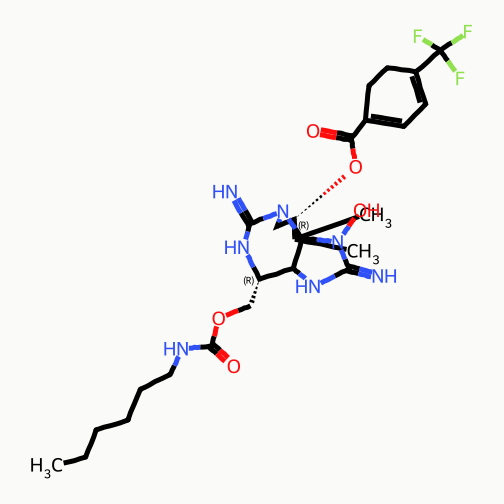 CCCCCCNC(=O)OC[C@@H]1NC(=N)N2C[C@H](OC(=O)C3=CC=C(C(F)(F)F)CC3)C(C)(C)C23C1NC(=N)N3O